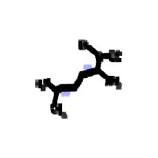 CCN(CC)/C(N)=C/C=C(/C)N